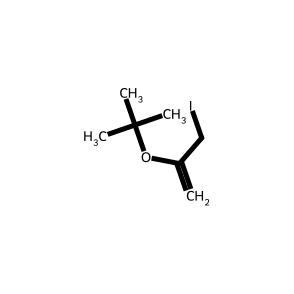 C=C(CI)OC(C)(C)C